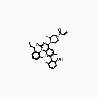 C=CC(=O)N1CCN(c2nc(=O)n(-c3c(F)cccc3CCC)c3nc(-c4c(O)cccc4F)c(F)cc23)[C@@H](C)C1